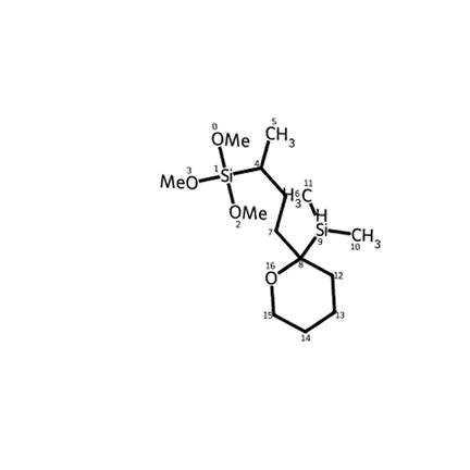 CO[Si](OC)(OC)C(C)CCC1([SiH](C)C)CCCCO1